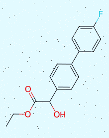 CCOC(=O)C(O)c1ccc(-c2ccc(F)cc2)cc1